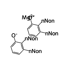 CCCCCCCCCc1cccc([O-])c1CCCCCCCCC.CCCCCCCCCc1cccc([O-])c1CCCCCCCCC.[Mg+2]